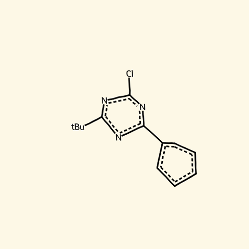 CC(C)(C)c1nc(Cl)nc(-c2ccccc2)n1